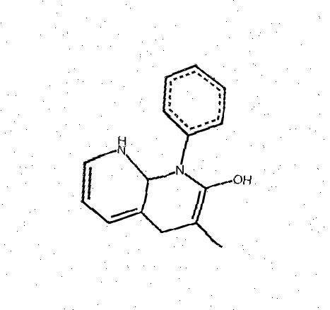 CC1=C(O)N(c2ccccc2)C2NC=CC=C2C1